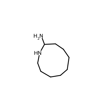 NC1CCCCCCCCN1